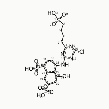 O=S(=O)(O)CCCSc1nc(Cl)nc(Nc2ccc(S(=O)(=O)O)c3cc(S(=O)(=O)O)cc(O)c23)n1